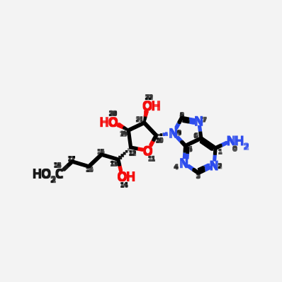 Nc1ncnc2c1ncn2[C@@H]1O[C@H](C(O)CCCC(=O)O)[C@@H](O)[C@H]1O